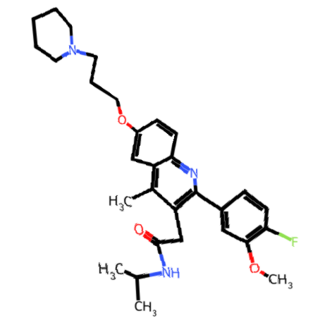 COc1cc(-c2nc3ccc(OCCCN4CCCCC4)cc3c(C)c2CC(=O)NC(C)C)ccc1F